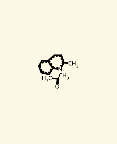 CC(C)=O.Cc1ccc2ccccc2n1